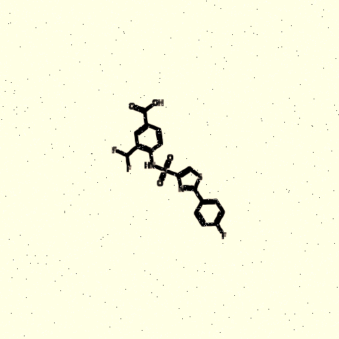 O=C(O)c1ccc(NS(=O)(=O)c2csc(-c3ccc(F)cc3)n2)c(C(F)F)c1